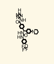 O=C(Nc1ccc(OC(F)(F)F)cc1)NC(c1ccc(C(=O)Nc2nn[nH]n2)cc1)c1ccc(N2CCCCC2)cc1